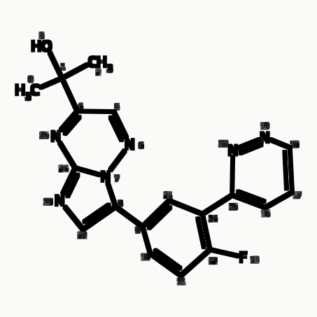 CC(C)(O)c1cnn2c(-c3ccc(F)c(-c4cccnn4)c3)cnc2n1